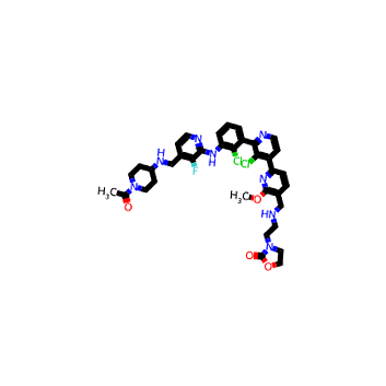 COc1nc(-c2ccnc(-c3cccc(Nc4nccc(CNC5CCN(C(C)=O)CC5)c4F)c3Cl)c2Cl)ccc1CNCCN1CCOC1=O